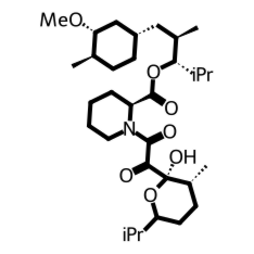 CO[C@@H]1C[C@H](C[C@@H](C)[C@@H](OC(=O)[C@@H]2CCCCN2C(=O)C(=O)[C@]2(O)OC(C(C)C)CC[C@H]2C)C(C)C)CC[C@H]1C